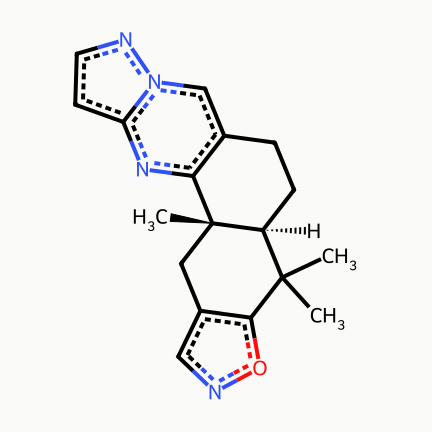 CC1(C)c2oncc2C[C@]2(C)c3nc4ccnn4cc3CC[C@@H]12